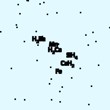 [BaH2].[CaH2].[CaH2].[Fe].[Mn].[SiH4]